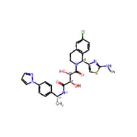 CC(C)Nc1nc([C@@H]2c3ccc(Cl)cc3CCN2C(=O)[C@H](O)[C@@H](O)C(=O)N[C@H](C)c2ccc(-n3cccn3)cc2)cs1